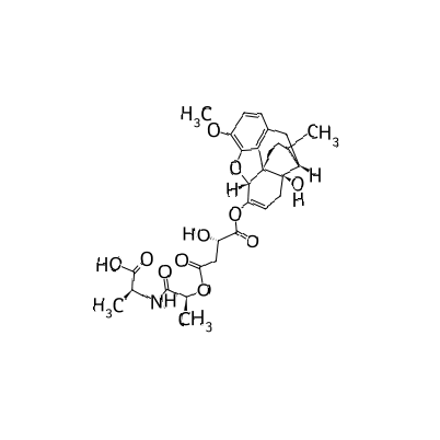 COc1ccc2c3c1O[C@H]1C(OC(=O)[C@@H](O)CC(=O)O[C@@H](C)C(=O)N[C@@H](C)C(=O)O)=CC[C@@]4(O)[C@@H](C2)C(C)CC[C@]314